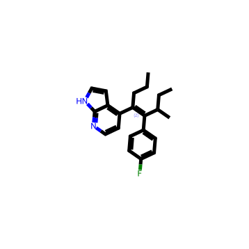 CCC/C(=C(/c1ccc(F)cc1)C(C)CC)c1ccnc2[nH]ccc12